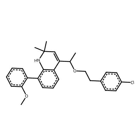 COc1ccccc1-c1cccc2c1NC(C)(C)C=C2C(C)OCCc1ccc(Cl)cc1